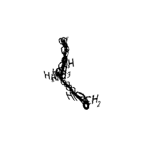 C=C1CCCCCCC1OCC(=O)NCCOCCOCCOCCOCCC(=O)NC(C(=O)NCC(=O)Nc1ccc(COC(=O)Oc2ccc([N+](=O)[O-])cc2)cc1)C(C)C